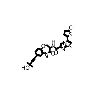 CN1C(=O)C(NC(=O)c2cn3c(-c4ccc(Cl)s4)csc3n2)COc2ccc(C#CC(C)(C)O)cc21